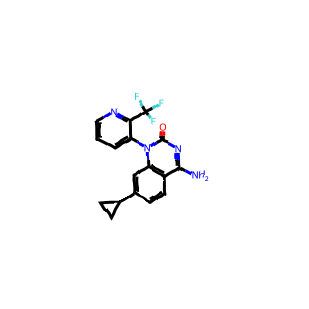 Nc1nc(=O)n(-c2cccnc2C(F)(F)F)c2cc(C3CC3)ccc12